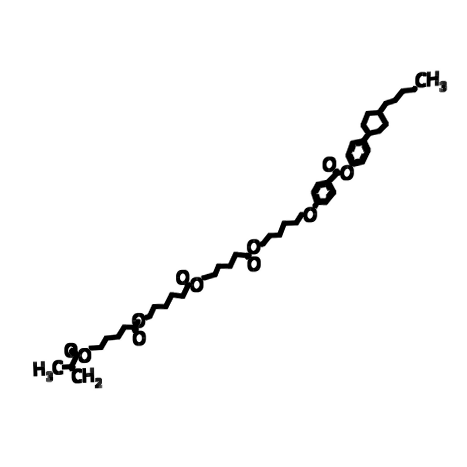 C=C(C)C(=O)OCCCCCC(=O)OCCCCCC(=O)OCCCCCC(=O)OCCCCCCOc1ccc(C(=O)Oc2ccc(C3CCC(CCCCC)CC3)cc2)cc1